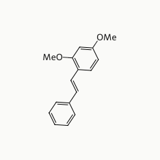 COc1ccc(/C=C/c2ccccc2)c(OC)c1